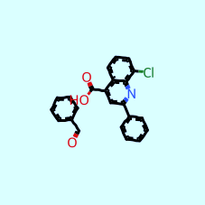 O=C(O)c1cc(-c2ccccc2)nc2c(Cl)cccc12.O=Cc1ccccc1